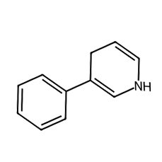 C1=CNC=C(c2ccccc2)C1